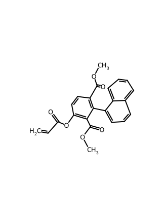 C=CC(=O)Oc1ccc(C(=O)OC)c(-c2cccc3ccccc23)c1C(=O)OC